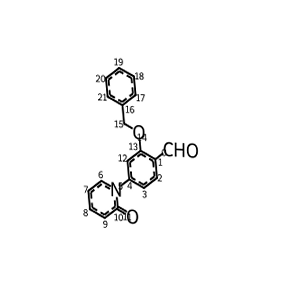 O=Cc1ccc(-n2ccccc2=O)cc1OCc1ccccc1